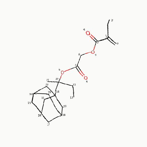 C=C(C)C(=O)OCC(=O)OC(C)(CC)C12CC3CC(CC(C3)C1)C2